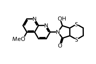 COc1ccnc2nc(N3C(=O)C4SCCSC4C3O)ccc12